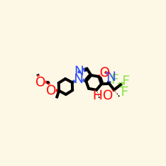 COCOC1(C)CCC(n2ncc3c2C[C@@H](C)c2c([C@](C)(O)C(F)(F)F)noc2-3)CC1